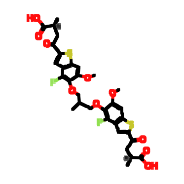 COc1cc2sc(C(=O)C[C@H](C)C(=O)O)cc2c(F)c1OCC(C)COc1c(OC)cc2sc(C(=O)C[C@H](C)C(=O)O)cc2c1F